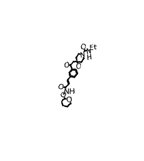 CCNC(=O)N1CCC2(CC1)CC(=O)c1cc(/C=C/C(=O)NOC3CCCCO3)ccc1O2